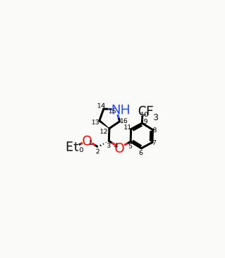 CCOC[C@@H](Oc1cccc(C(F)(F)F)c1)[C@H]1CCNC1